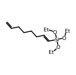 C=CCCCCC=C[Si](OCC)(OCC)OCC